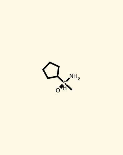 C[SH](N)(=O)C1CCCC1